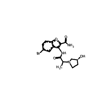 CC(C(=O)Nc1c(C(N)=O)oc2ccc(Br)cc12)N1CC[C@H](O)C1